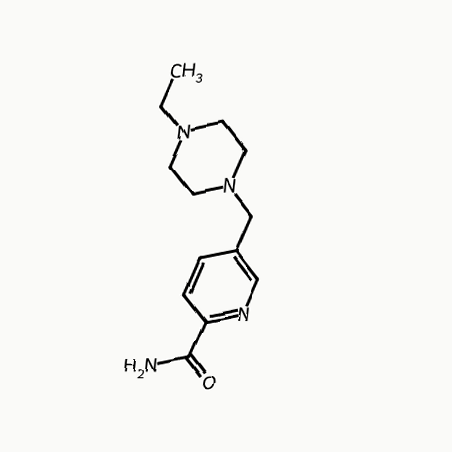 CCN1CCN(Cc2ccc(C(N)=O)nc2)CC1